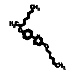 CCCCCCOc1cnc(-c2ccc(OC(C)CCCCCC)cc2)nc1